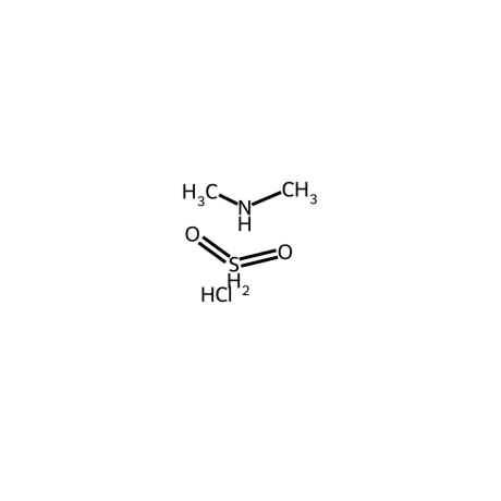 CNC.Cl.O=[SH2]=O